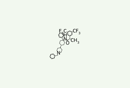 CC(C(=O)N[C@]1(c2ccccc2)CC[C@H](C2CCN(Cc3ccccc3)CC2)CC1)c1cc(C(F)(F)F)cc(C(F)(F)F)c1